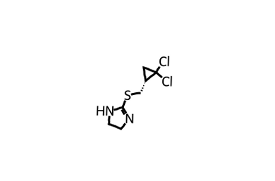 ClC1(Cl)C[C@H]1CSC1=NCCN1